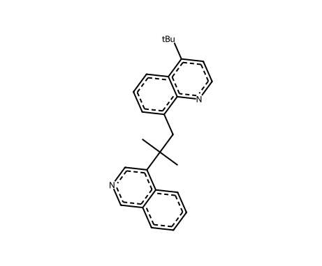 CC(C)(C)c1ccnc2c(CC(C)(C)c3cncc4ccccc34)cccc12